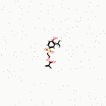 C=C(C)C(=O)OCCS(=O)(=O)c1ccc(O)c(C(C)C)c1